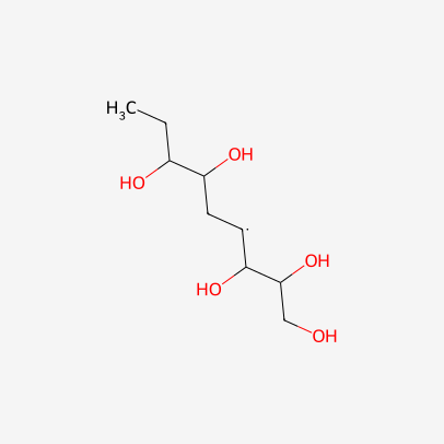 CCC(O)C(O)C[CH]C(O)C(O)CO